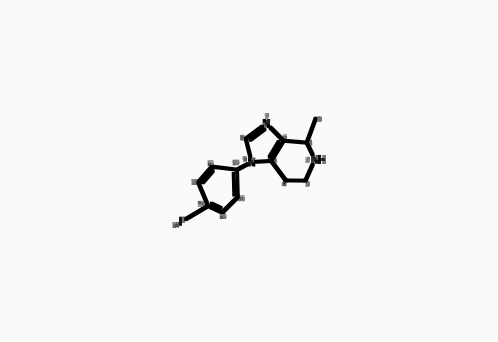 CC1NCCc2c1ncn2-c1ccc(F)cc1